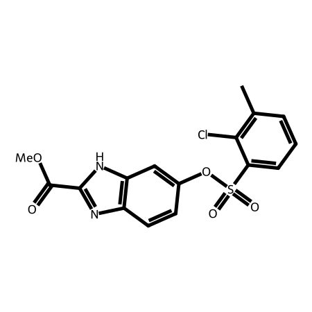 COC(=O)c1nc2ccc(OS(=O)(=O)c3cccc(C)c3Cl)cc2[nH]1